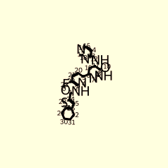 O=C(Nc1nc(C2=NNC(=O)C(Nc3ccncn3)C2)ccc1F)c1cc2c(s1)CCCC2